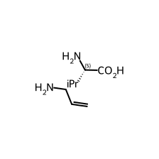 C=CCN.CC(C)[C@H](N)C(=O)O